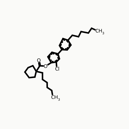 CCCCCCc1ccc(-c2ccc(OC(=O)C3(CCCCCC)CCCCC3)c(Cl)c2)cc1